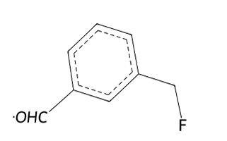 O=[C]c1cccc(CF)c1